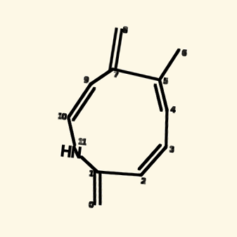 C=c1cccc(C)c(=C)cc[nH]1